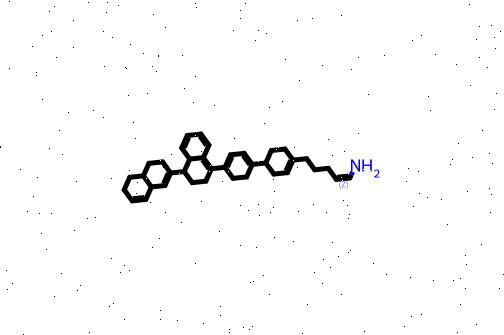 N/C=C\CCCC1=CCC(C2=CC=C(C3=C4C=CC=CC4C(C4=CC5C=CCCC5CC4)CC3)CC2)CC1